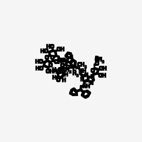 COC[C@H]1O[C@@H](n2cnc3c(NCC(c4ccccc4)c4ccccc4)nc(CNC(C)C)nc32)[C@H](O)[C@@H]1O.C[N+]1(C)[C@@H]2C[C@@H](OC(=O)C(O)(c3cccs3)c3cccs3)C[C@H]1[C@@H]1O[C@@H]12.OC[C@H]1O[C@@H](O[C@H]2[C@H](O)[C@@H](O)[C@H](O)O[C@@H]2CO)[C@H](O)[C@@H](O)[C@H]1O.[Br-]